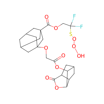 O=C(COC12CC3CC(C1)CC(C(=O)OCC(F)(F)SOOO)(C3)C2)OC1C2CC3C(=O)OC1C3C2